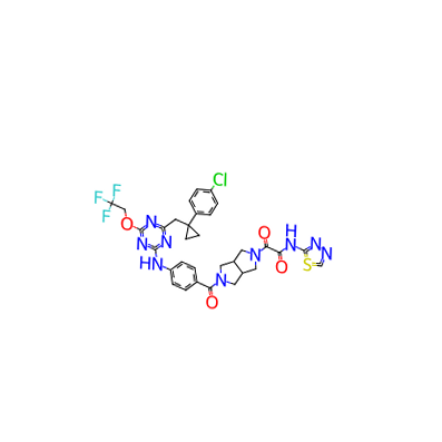 O=C(Nc1nncs1)C(=O)N1CC2CN(C(=O)c3ccc(Nc4nc(CC5(c6ccc(Cl)cc6)CC5)nc(OCC(F)(F)F)n4)cc3)CC2C1